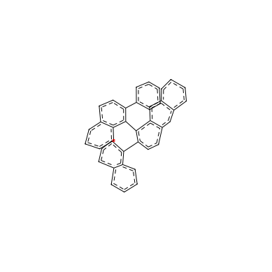 c1ccc(-c2ccc3ccccc3c2-c2c(-c3cccc4ccccc34)ccc3cc4ccccc4cc23)cc1